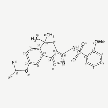 COc1ccccc1S(=O)(=O)Nc1noc2c1CC(C)(C)c1ccc(OC(F)F)cc1-2